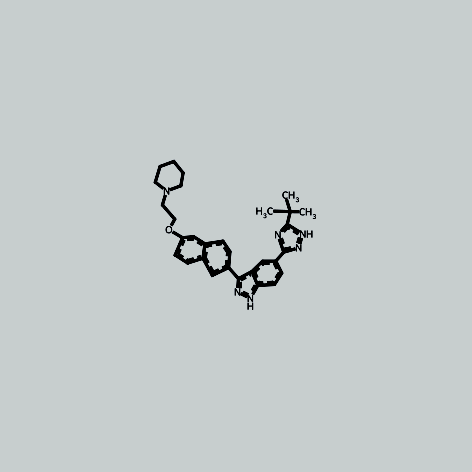 CC(C)(C)c1nc(-c2ccc3[nH]nc(-c4ccc5cc(OCCN6CCCCC6)ccc5c4)c3c2)n[nH]1